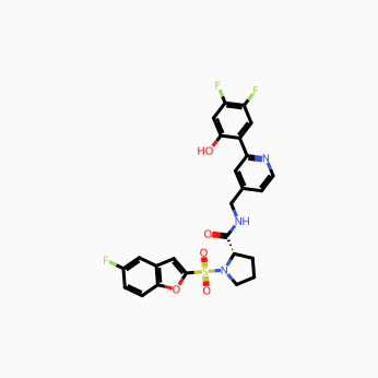 O=C(NCc1ccnc(-c2cc(F)c(F)cc2O)c1)[C@@H]1CCCN1S(=O)(=O)c1cc2cc(F)ccc2o1